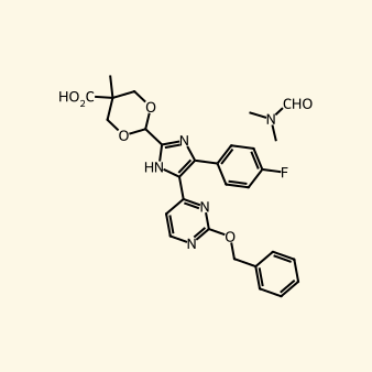 CC1(C(=O)O)COC(c2nc(-c3ccc(F)cc3)c(-c3ccnc(OCc4ccccc4)n3)[nH]2)OC1.CN(C)C=O